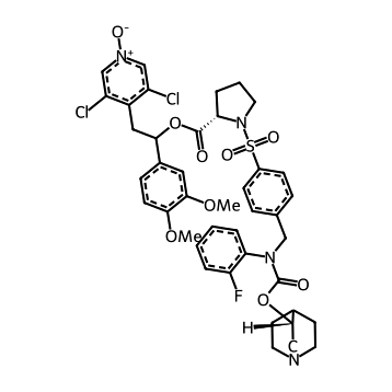 COc1ccc(C(Cc2c(Cl)c[n+]([O-])cc2Cl)OC(=O)[C@@H]2CCCN2S(=O)(=O)c2ccc(CN(C(=O)O[C@H]3CN4CCC3CC4)c3ccccc3F)cc2)cc1OC